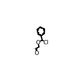 O=[C]COC(Cl)c1ccccc1